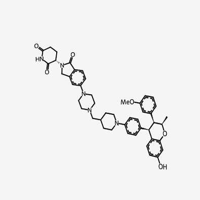 COc1cccc([C@@H]2[C@H](c3ccc(N4CCC(CN5CCN(c6ccc7c(c6)CN([C@H]6CCC(=O)NC6=O)C7=O)CC5)CC4)cc3)c3ccc(O)cc3O[C@@H]2C)c1